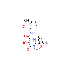 C[S+]([O-])c1ccccc1CNC(=O)c1nc2n(c(=O)c1O)CCOC2(C)C